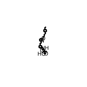 CCc1ccc(CCCCOc2cccc(C=Cc3cccc(NC(=O)CC(CC)(CC)C(=O)O)c3)n2)cc1